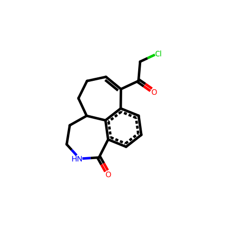 O=C(CCl)C1=CCCC2CCNC(=O)c3cccc1c32